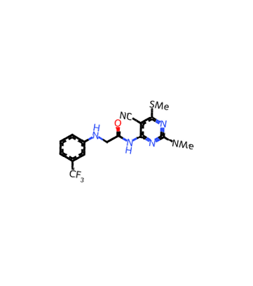 CNc1nc(NC(=O)CNc2cccc(C(F)(F)F)c2)c(C#N)c(SC)n1